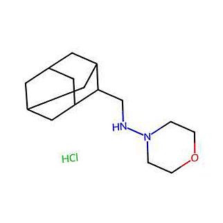 C1CN(NCC2C3CC4CC(C3)CC2C4)CCO1.Cl